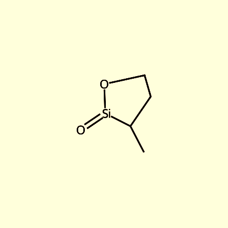 CC1CCO[Si]1=O